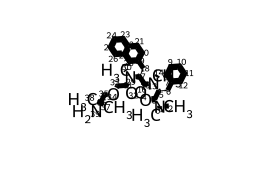 CN(C)C(=O)[C@@H](Cc1ccccc1)N(C)C(=O)[C@@H](Cc1ccc2ccccc2c1)N(C)C(=O)COCC(C)(C)N